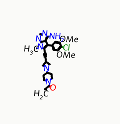 C=CC(=O)N1CCC(N2CC(C#Cc3c(-c4cc(OC)c(Cl)c(OC)c4)c4c(N)ncnc4n3C)C2)CC1